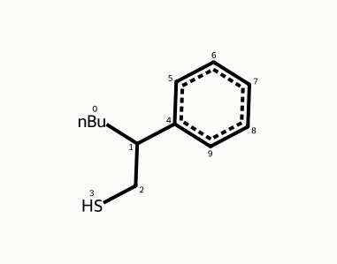 CCCCC(CS)c1ccccc1